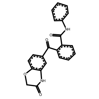 O=C1COc2ccc(C(=O)c3ccccc3C(=O)Nc3ccccc3)cc2N1